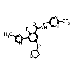 Cc1cnc(-c2cc(OC3CCOC3)cc(C(=O)NCc3cnc(C(F)(F)F)nc3)c2F)s1